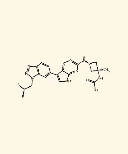 CCC(=O)N[C@]1(C)C[C@@H](Nc2ncc3c(-c4ccc5nnn(CC(F)F)c5c4)c[nH]c3n2)C1